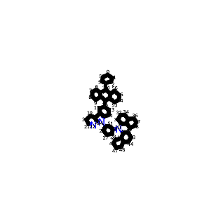 c1ccc(-c2c3ccccc3c(-c3ccc4c(c3)c3cccnc3n4-c3cccc(N(c4cccc5ccccc45)c4cccc5ccccc45)c3)c3ccccc23)cc1